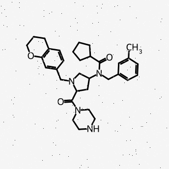 Cc1cccc(CN(C(=O)C2CCCC2)C2CC(C(=O)N3CCNCC3)N(Cc3ccc4c(c3)OCCC4)C2)c1